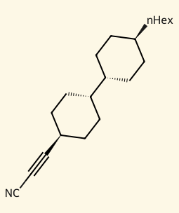 CCCCCC[C@H]1CC[C@H]([C@H]2CC[C@H](C#CC#N)CC2)CC1